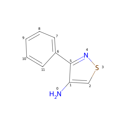 Nc1csnc1-c1ccccc1